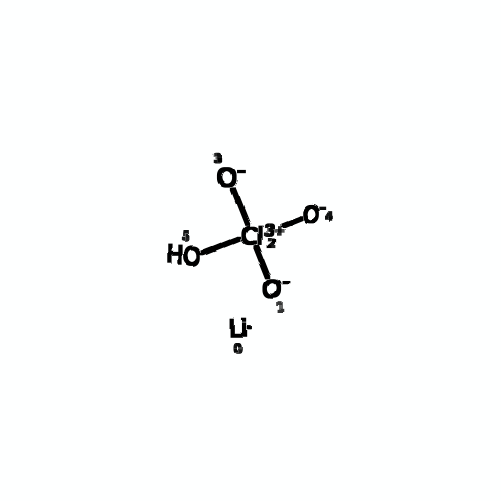 [Li].[O-][Cl+3]([O-])([O-])O